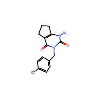 Nn1c2c(c(=O)n(Cc3ccc(Cl)cc3)c1=O)CCC2